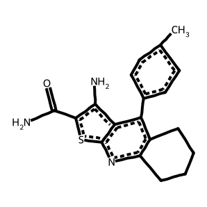 Cc1ccc(-c2c3c(nc4sc(C(N)=O)c(N)c24)CCCC3)cc1